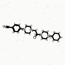 N#Cc1ccc(N2CCN(CC(=O)N3CCN(C4CCCCC4)CC3)CC2)cc1